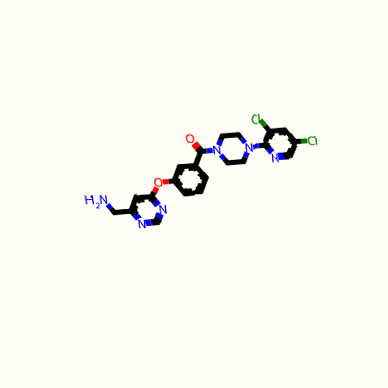 NCc1cc(Oc2cccc(C(=O)N3CCN(c4ncc(Cl)cc4Cl)CC3)c2)ncn1